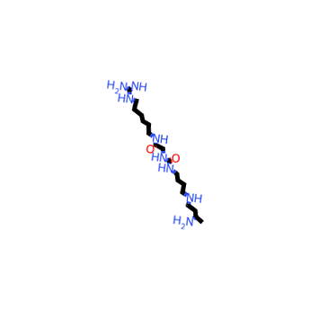 CC(N)CCNCCCCNC(=O)NCC(=O)NCCCCCCNC(=N)N